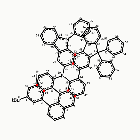 CC(C)(C)c1cc(-c2cccc3cccc(-c4ccccc4N(c4ccc5c(c4)c4ccccc4n5-c4ccccc4)c4ccccc4-c4ccc5c(c4)C(c4ccccc4)(c4ccccc4)c4ccccc4-5)c23)cc(C(C)(C)C)c1